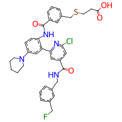 O=C(O)CCSCc1cccc(C(=O)Nc2ccc(N3CCCCC3)cc2-c2cc(C(=O)NCc3cccc(CF)c3)cc(Cl)n2)c1